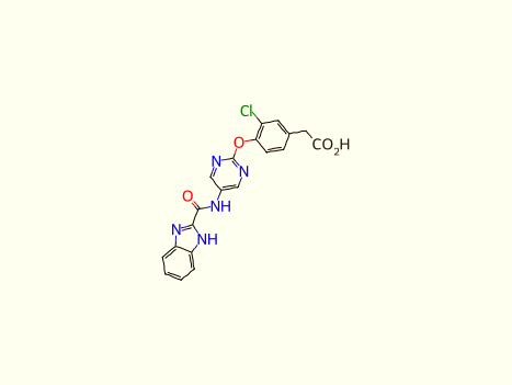 O=C(O)Cc1ccc(Oc2ncc(NC(=O)c3nc4ccccc4[nH]3)cn2)c(Cl)c1